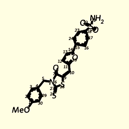 COc1ccc(CN2C(=O)/C(=C\c3ccc(-c4ccc(S(N)(=O)=O)cc4)o3)SC2=S)cc1